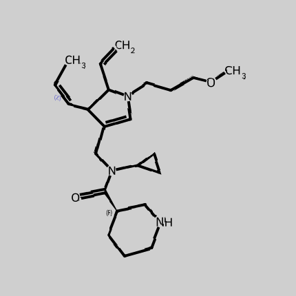 C=CC1C(/C=C\C)C(CN(C(=O)[C@@H]2CCCNC2)C2CC2)=CN1CCCOC